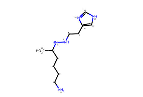 NCCCCC(NNCCc1c[nH]cn1)C(=O)O